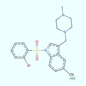 CN1CCN(Cc2cn(S(=O)(=O)c3ccccc3Br)c3ccc(C#N)cc23)CC1.Cl